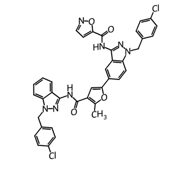 Cc1oc(-c2ccc3c(c2)c(NC(=O)c2ccno2)nn3Cc2ccc(Cl)cc2)cc1C(=O)Nc1nn(Cc2ccc(Cl)cc2)c2ccccc12